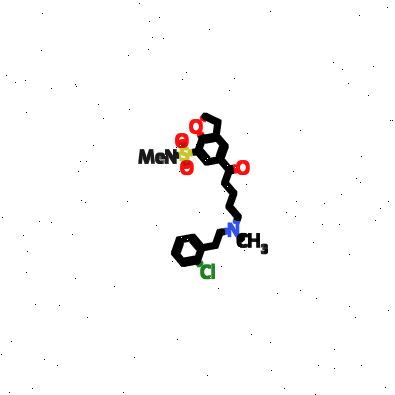 CNS(=O)(=O)c1cc(C(=O)CCCCN(C)CCc2ccccc2Cl)cc2c1OCC2